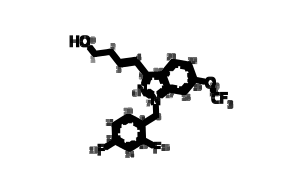 OCC/C=C/c1nn(Cc2ccc(F)cc2F)c2cc(OC(F)(F)F)ccc12